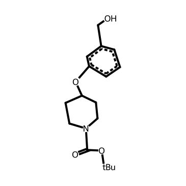 CC(C)(C)OC(=O)N1CCC(Oc2cccc(CO)c2)CC1